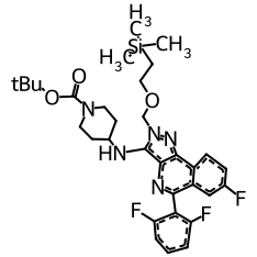 CC(C)(C)OC(=O)N1CCC(Nc2c3nc(-c4c(F)cccc4F)c4cc(F)ccc4c3nn2COCC[Si](C)(C)C)CC1